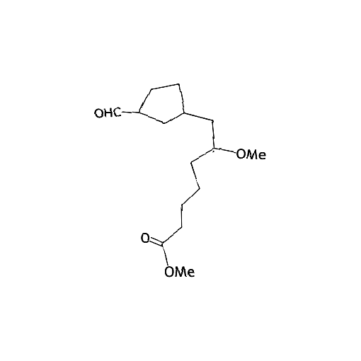 CO[C](CCCCC(=O)OC)CC1CCC(C=O)C1